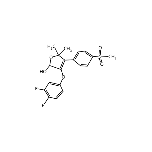 CC1(C)OC(O)C(Oc2ccc(F)c(F)c2)=C1c1ccc(S(C)(=O)=O)cc1